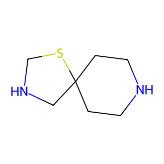 C1CC2(CCN1)CNCS2